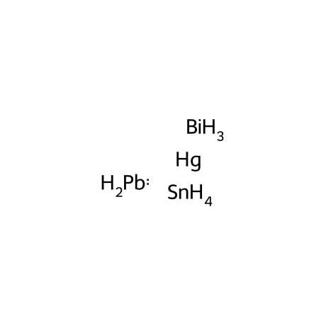 [BiH3].[Hg].[PbH2].[SnH4]